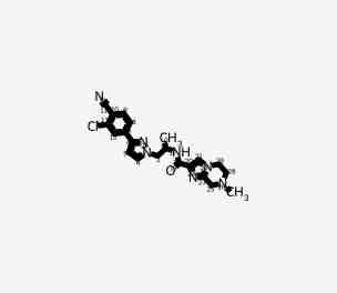 CC(Cn1ccc(-c2ccc(C#N)c(Cl)c2)n1)NC(=O)c1cn2c(n1)CN(C)CC2